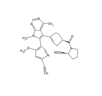 C#Cc1cc(OC)c(-c2c(C3=CC[C@H](C(=O)N4CCC[C@H]4C#N)CC3)c3c(C)ncnc3n2C)cn1